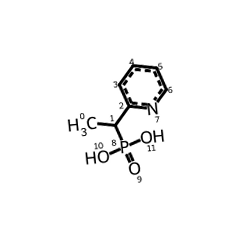 CC(c1ccccn1)P(=O)(O)O